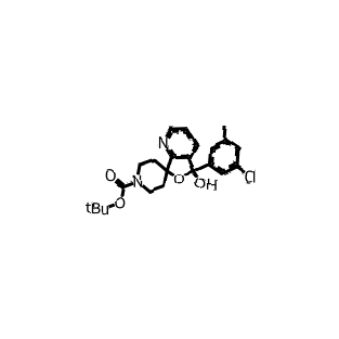 Cc1cc(Cl)cc(C2(O)OC3(CCN(C(=O)OC(C)(C)C)CC3)c3ncccc32)c1